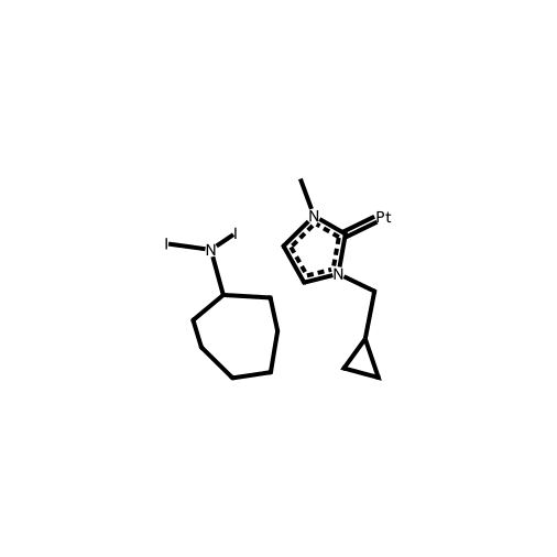 Cn1ccn(CC2CC2)[c]1=[Pt].IN(I)C1CCCCCC1